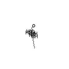 CCCCCCCCCNC1=NC(C)(C)NC(NCCc2ccccc2)(OC(C)=O)N1